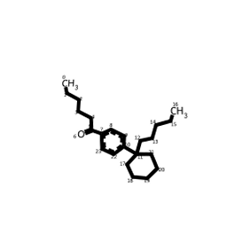 CCCCCC(=O)c1ccc(C2(CCCCC)CCCCC2)cc1